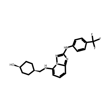 O[C@H]1CC[C@@H](CNc2cccc3nc(Nc4ccc(C(F)(F)F)cc4)nn23)CC1